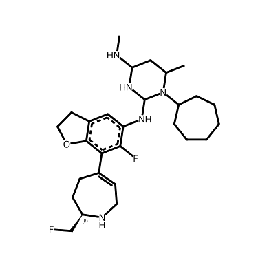 CNC1CC(C)N(C2CCCCCC2)C(Nc2cc3c(c(C4=CCN[C@@H](CF)CC4)c2F)OCC3)N1